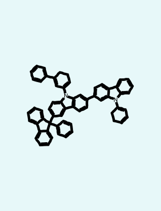 C1=CCCC(n2c3ccccc3c3ccc(-c4ccc5c6cc(C7(c8ccccc8)c8ccccc8-c8ccccc87)ccc6n(C6=CCCC(c7ccccc7)=C6)c5c4)cc32)=C1